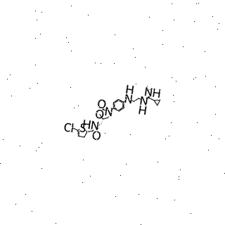 N=C(NCCNc1ccc(N2C[C@H](CNC(=O)C3CC=C(Cl)S3)OC2=O)cc1)C1CC1